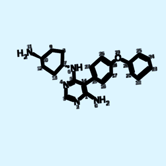 Nc1ncnc(N[C@H]2CC[C@H](N)CC2)c1-c1ccc(Oc2ccccc2)cc1